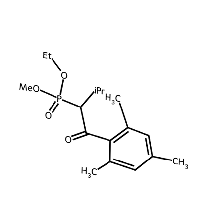 CCOP(=O)(OC)C(C(=O)c1c(C)cc(C)cc1C)C(C)C